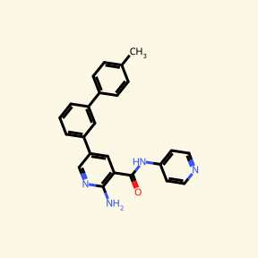 Cc1ccc(-c2cccc(-c3cnc(N)c(C(=O)Nc4ccncc4)c3)c2)cc1